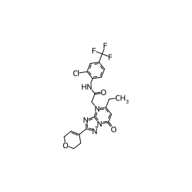 CCc1cc(=O)n2nc(C3=CCOCC3)nc2n1CC(=O)Nc1ccc(C(F)(F)F)cc1Cl